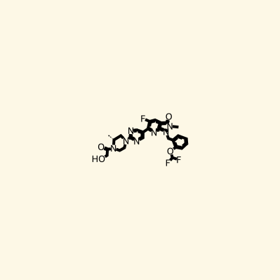 C[C@@H]1CN(c2ncc(-c3nc4c(cc3F)c(=O)n(C)n4Cc3ccccc3OC(F)F)cn2)CCN1C(=O)CO